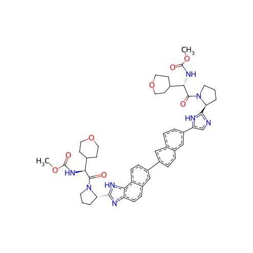 COC(=O)N[C@H](C(=O)N1CCC[C@H]1c1ncc(-c2ccc3cc(-c4ccc5c(ccc6nc([C@@H]7CCCN7C(=O)[C@@H](NC(=O)OC)C7CCOCC7)[nH]c65)c4)ccc3c2)[nH]1)C1CCOCC1